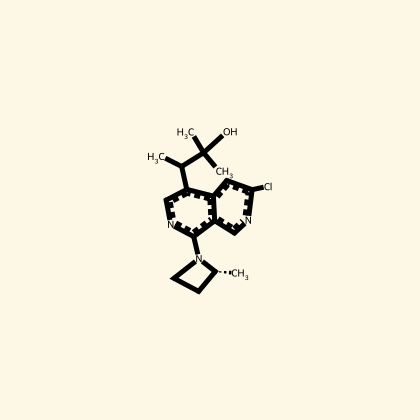 CC(c1cnc(N2CC[C@H]2C)c2cnc(Cl)cc12)C(C)(C)O